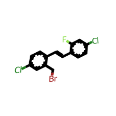 Fc1cc(Cl)ccc1C=Cc1ccc(Cl)cc1CBr